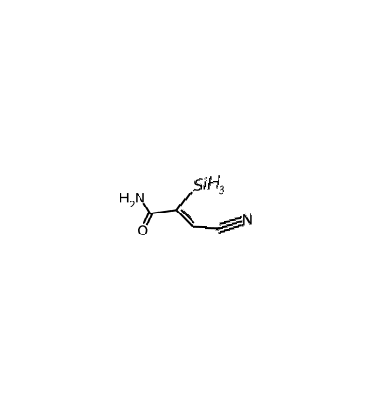 N#CC=C([SiH3])C(N)=O